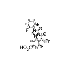 CC(C)N(C(=O)n1nnn(-c2c(F)cccc2F)c1=O)c1ccc(C(=O)O)cc1F